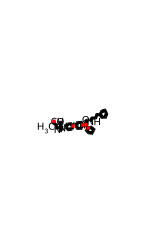 CC(C)n1ncn(-c2ccc(N3CCN(C(C(=O)NCCCc4ccccc4)c4ccccc4)CC3)cc2)c1=O